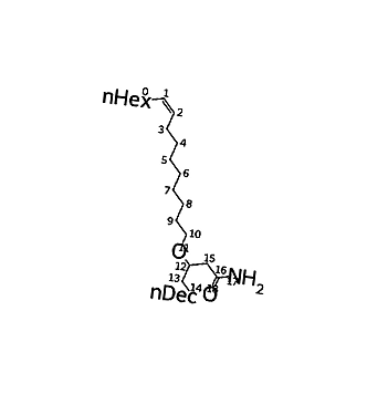 CCCCCC/C=C\CCCCCCCCOC(CCCCCCCCCCC)CC(N)=O